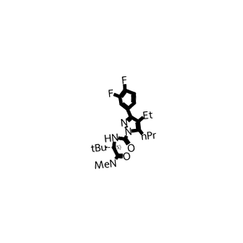 CCCc1c(CC)c(-c2ccc(F)c(F)c2)nn1C(=O)N[C@H](C(=O)NC)C(C)(C)C